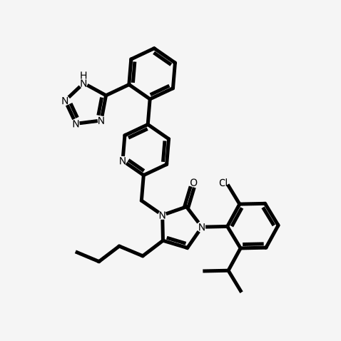 CCCCc1cn(-c2c(Cl)cccc2C(C)C)c(=O)n1Cc1ccc(-c2ccccc2-c2nnn[nH]2)cn1